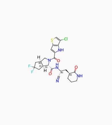 N#C[C@@H](C[C@@H]1CCCNC1=O)NC(=O)[C@@H]1[C@H]2CC(F)(F)C[C@H]2CN1C(=O)c1cc2scc(Cl)c2[nH]1